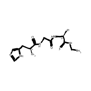 BCNC(=S)[C@@H](NC(=O)CNC(=O)[C@@H](N)Cc1cnc[nH]1)C(C)C